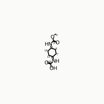 COC(=O)NC1CCC(NC(=O)O)CC1